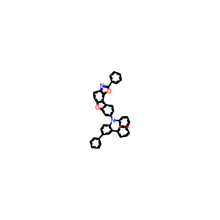 c1ccc(-c2ccc(N(c3ccccc3)c3ccc4c(c3)oc3ccc5nc(-c6ccccc6)oc5c34)c(-c3ccccc3)c2)cc1